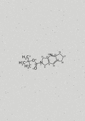 CC(C)(C)OC(=O)N1Cc2cc3c(nc2C1)CCC3